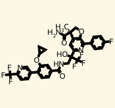 C[C@]1(C(N)=O)COc2c1cc(C(O)(CNC(=O)c1ccc(-c3ccc(C(F)(F)F)nc3)c(OC3CC3)c1)C(F)(F)F)nc2-c1ccc(F)cc1